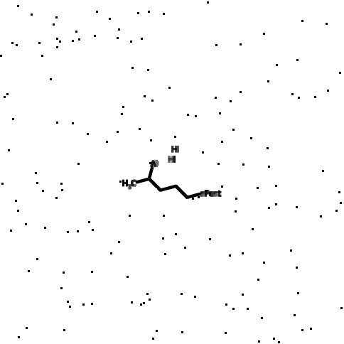 CCCCCCCC[CH](C)[Al].I.I